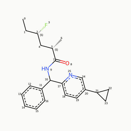 CC[C@H](F)C[C@H](C)C(=O)NC(c1ccccc1)c1ccc(C2CC2)cn1